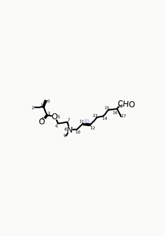 C=C(C)C(=O)OCCN(C)C/C=C/CCCC(C)C=O